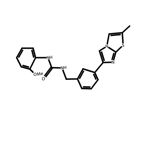 COc1ccccc1NC(=O)NCc1cccc(-c2cn3cc(C)sc3n2)c1